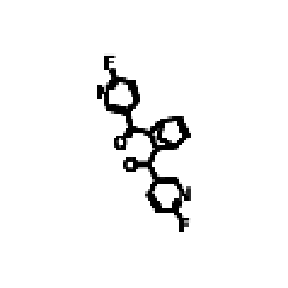 O=C(c1ccc(F)nc1)C1C2C=CC(C2)C1C(=O)c1ccc(F)nc1